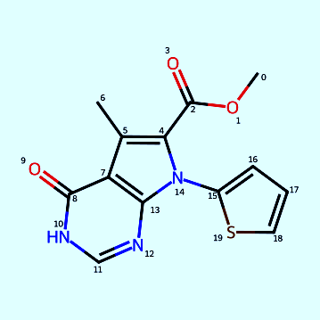 COC(=O)c1c(C)c2c(=O)[nH]cnc2n1-c1cccs1